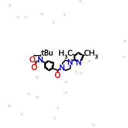 Cc1cnc(N2CCN(C(=O)c3ccc(N4C(=O)OC[C@H]4C(C)(C)C)cc3)CC2)c(C)c1